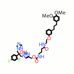 COc1ccc(CCCc2cccc(OCCNC(=O)CCCNC(=O)OCc3cn(CC(O)(Cn4cncn4)c4ccc(F)cc4F)nn3)c2)cc1OC